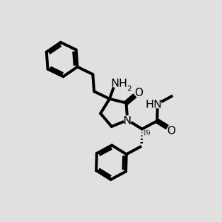 CNC(=O)[C@H](Cc1ccccc1)N1CCC(N)(CCc2ccccc2)C1=O